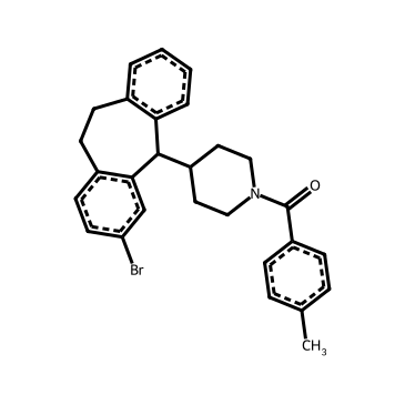 Cc1ccc(C(=O)N2CCC(C3c4ccccc4CCc4ccc(Br)cc43)CC2)cc1